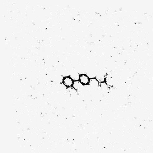 O=C(O)NCc1ccc(-c2ccccc2F)cc1